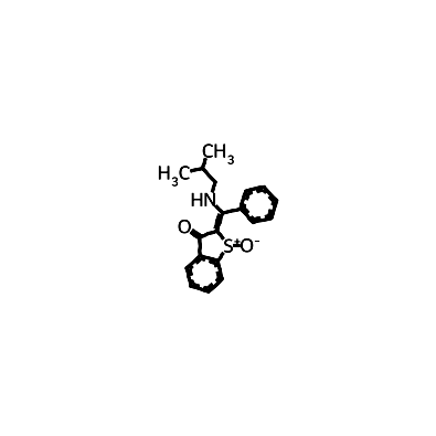 CC(C)CNC(=C1C(=O)c2ccccc2[S+]1[O-])c1ccccc1